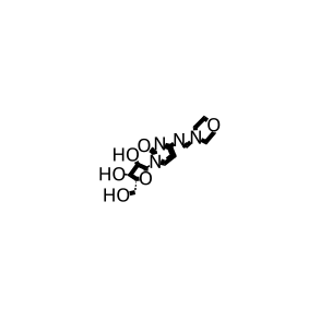 O=c1nc(/N=C/N2CCOCC2)ccn1[C@@H]1O[C@H](CO)[C@H](O)C1O